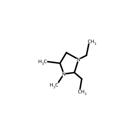 CCC1N(CC)CC(C)N1C